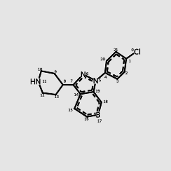 Clc1ccc(-n2nc(C3CCNCC3)c3ccbcc32)cc1